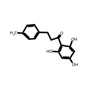 Cc1ccc(CCC(=O)c2c(O)cc(O)cc2O)cc1